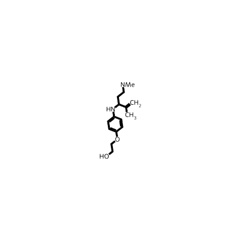 C=C(C)C(CCNC)Nc1ccc(OCCO)cc1